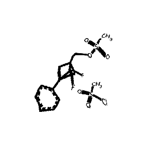 CS(=O)(=O)Cl.CS(=O)(=O)OCC12CC(c3ccccc3)(C1)C2(F)F